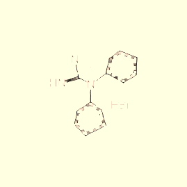 Br.N=C(N)N(c1ccccc1)c1ccccc1